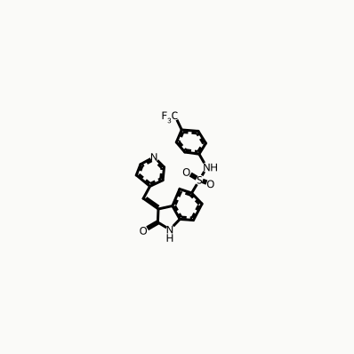 O=C1Nc2ccc(S(=O)(=O)Nc3ccc(C(F)(F)F)cc3)cc2C1=Cc1ccncc1